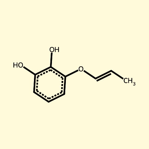 CC=COc1cccc(O)c1O